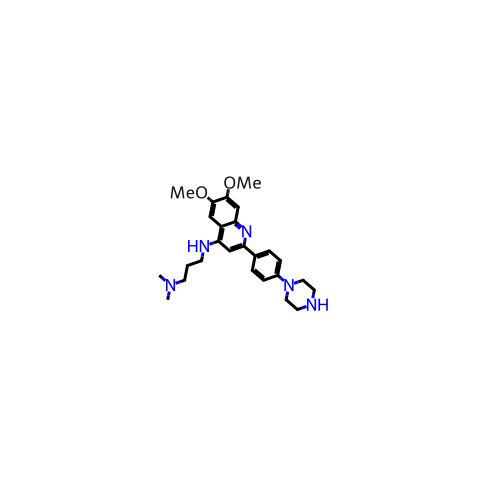 COc1cc2nc(-c3ccc(N4CCNCC4)cc3)cc(NCCCN(C)C)c2cc1OC